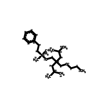 CCCOCC(CO[Si](C)(C)CCc1ccccc1)(CC(C)C)CC(C)C